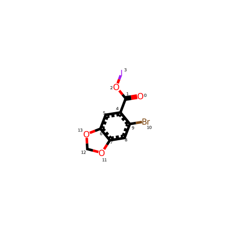 O=C(OI)c1cc2c(cc1Br)OCO2